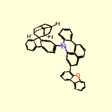 c1ccc(-c2ccccc2N(c2cccc(-c3cccc4c3oc3ccccc34)c2)c2ccc3c(c2)C2(c4ccccc4-3)[C@H]3CC4C[C@H](C3)C[C@@H]2C4)cc1